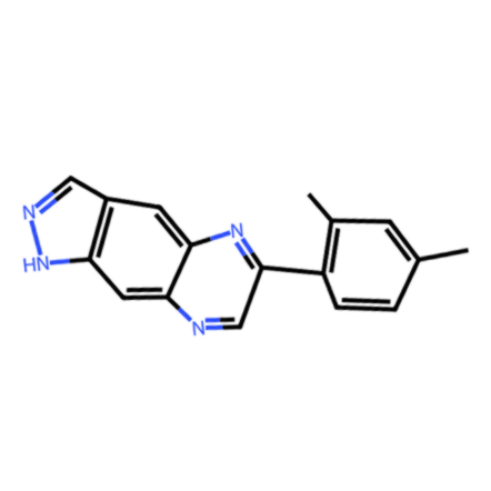 Cc1ccc(-c2cnc3cc4[nH]ncc4cc3n2)c(C)c1